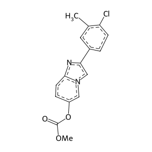 COC(=O)Oc1ccc2nc(-c3ccc(Cl)c(C)c3)cn2c1